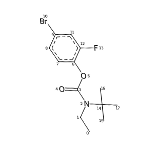 CCN(C(=O)Oc1ccc(Br)cc1F)C(C)(C)C